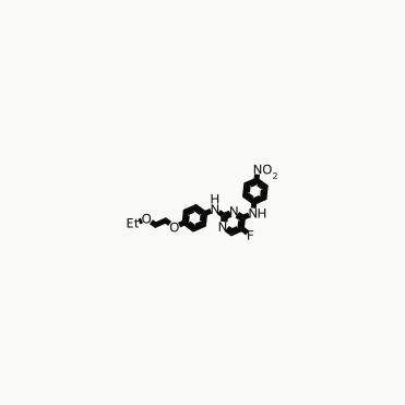 CCOCCOc1ccc(Nc2ncc(F)c(Nc3ccc([N+](=O)[O-])cc3)n2)cc1